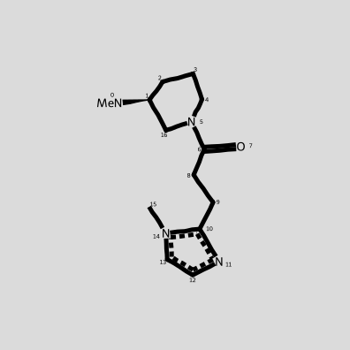 CN[C@H]1CCCN(C(=O)CCc2nccn2C)C1